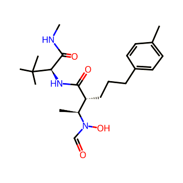 CNC(=O)[C@@H](NC(=O)[C@H](CCCc1ccc(C)cc1)[C@H](C)N(O)C=O)C(C)(C)C